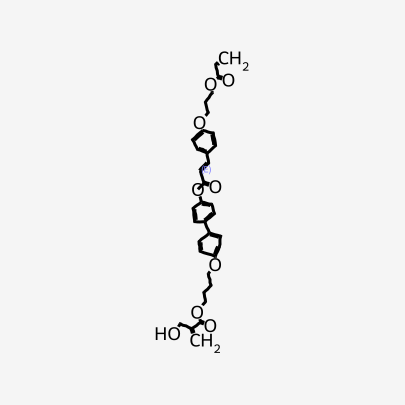 C=CC(=O)OCCCOc1ccc(/C=C/C(=O)Oc2ccc(-c3ccc(OCCCCOC(=O)C(=C)CO)cc3)cc2)cc1